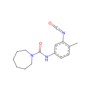 Cc1ccc(NC(=O)N2CCCCCC2)cc1N=C=O